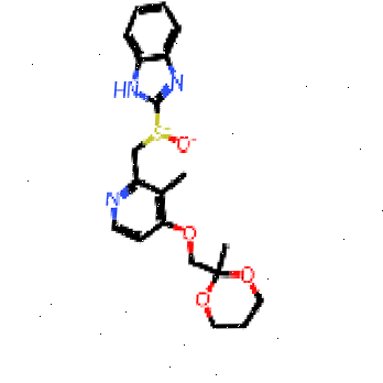 Cc1c(OCC2(C)OCCCO2)ccnc1C[S+]([O-])c1nc2ccccc2[nH]1